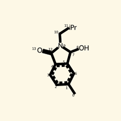 Cc1ccc2c(c1)C(O)N(CC(C)C)C2=O